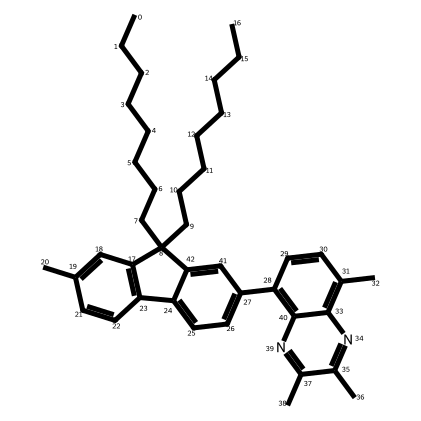 CCCCCCCCC1(CCCCCCCC)c2cc(C)ccc2-c2ccc(-c3ccc(C)c4nc(C)c(C)nc34)cc21